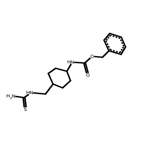 NC(=S)NCC1CCC(NC(=O)OCc2ccccc2)CC1